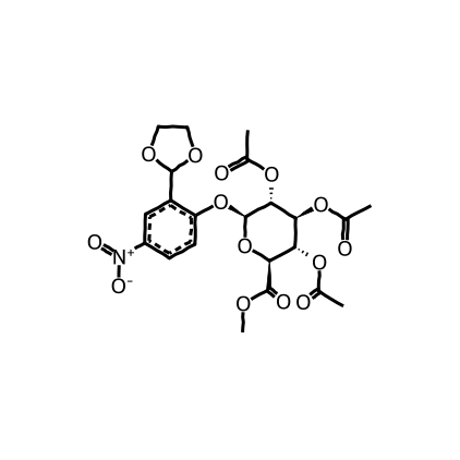 COC(=O)[C@H]1O[C@@H](Oc2ccc([N+](=O)[O-])cc2C2OCCO2)[C@H](OC(C)=O)[C@@H](OC(C)=O)[C@@H]1OC(C)=O